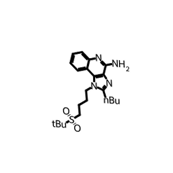 CCCCc1nc2c(N)nc3ccccc3c2n1CCCCS(=O)(=O)C(C)(C)C